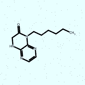 CCCCCCN1C(=O)CNc2nccnc21